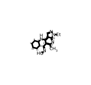 CCn1ncc2c(NC3CCCCC3)c(C=NO)c(C)nc21